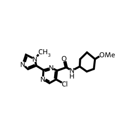 COC1CCC(NC(=O)c2nc(-c3cncn3C)ncc2Cl)CC1